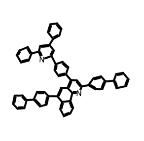 c1ccc(-c2ccc(-c3cc(-c4ccc(-c5cc(-c6ccccc6)cc(-c6ccccc6)n5)cc4)c4cc(-c5ccc(-c6ccccc6)cc5)c5ccccc5c4n3)cc2)cc1